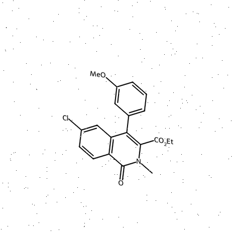 CCOC(=O)c1c(-c2cccc(OC)c2)c2cc(Cl)ccc2c(=O)n1C